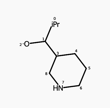 CC(C)C([O])C1CCCNC1